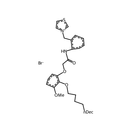 CCCCCCCCCCCCCCOc1c(OC)cccc1OCC(=O)Nc1ccccc1C[n+]1ccsc1.[Br-]